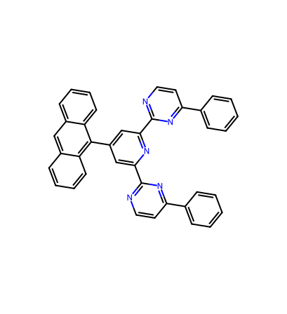 c1ccc(-c2ccnc(-c3cc(-c4c5ccccc5cc5ccccc45)cc(-c4nccc(-c5ccccc5)n4)n3)n2)cc1